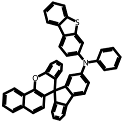 c1ccc(N(c2ccc3c(c2)C2(c4ccccc4Oc4c2ccc2ccccc42)c2ccccc2-3)c2ccc3c(c2)sc2ccccc23)cc1